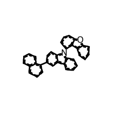 c1ccc2c(-c3ccc4c(c3)c3ccccc3n4-c3cccc4oc5ccccc5c34)cccc2c1